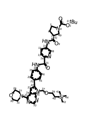 CC(C)(C)OC(=O)N1CC[C@H](C(=O)Nc2ccc(C(=O)Nc3ccc(-c4cc5c(N6CCOCC6)ncnc5n4COCC[Si](C)(C)C)cc3)nc2)C1